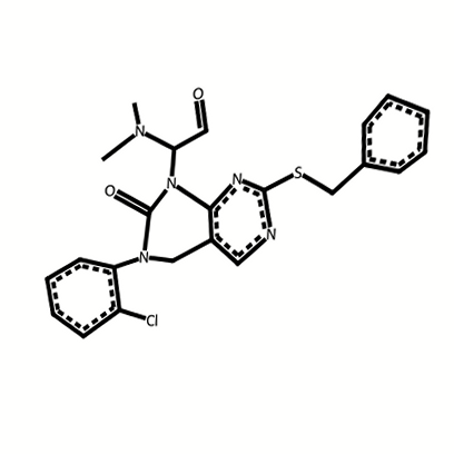 CN(C)C(C=O)N1C(=O)N(c2ccccc2Cl)Cc2cnc(SCc3ccccc3)nc21